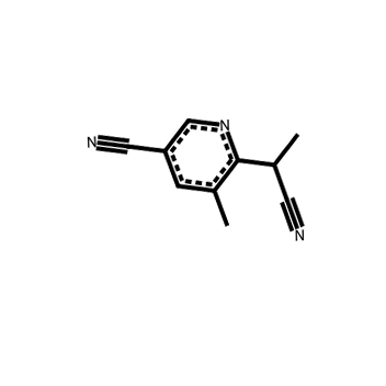 Cc1cc(C#N)cnc1C(C)C#N